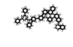 C1=c2ccccc2=C(c2ccc3ccc(-c4cccc5ccccc45)c(-c4cccc(-n5c6ccccc6c6cc(-c7ccc8c(c7)c7ccccc7n8-c7nc(-c8ccccc8)nc(-c8ccccc8)n7)ccc65)c4)c3c2)CC1